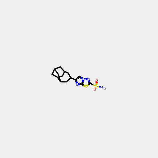 NS(=O)(=O)c1nn2cc(C3CC4CC5CC(C4)C(C5)C3)nc2s1